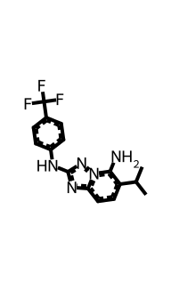 CC(C)c1ccc2nc(Nc3ccc(C(F)(F)F)cc3)nn2c1N